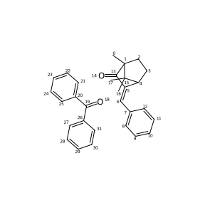 CC12CCC(C(=Cc3ccccc3)C1=O)C2(C)C.O=C(c1ccccc1)c1ccccc1